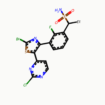 CCC(c1cccc(-c2nc(Br)sc2-c2ccnc(Cl)n2)c1F)S(N)(=O)=O